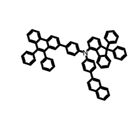 c1ccc(-c2c(-c3ccccc3)c3cc(-c4ccc(N(c5ccc(-c6ccc7ccccc7c6)cc5)c5cccc6c5-c5ccccc5C6(c5ccccc5)c5ccccc5)cc4)ccc3c3ccccc23)cc1